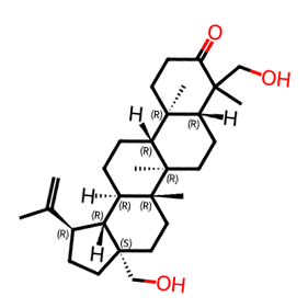 C=C(C)[C@@H]1CC[C@]2(CO)CC[C@]3(C)[C@H](CC[C@@H]4[C@@]5(C)CCC(=O)C(C)(CO)[C@@H]5CC[C@]43C)[C@@H]12